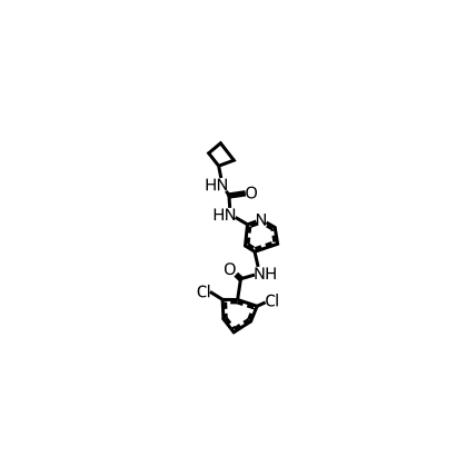 O=C(Nc1cc(NC(=O)c2c(Cl)cccc2Cl)ccn1)NC1CCC1